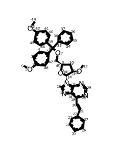 COc1ccc(C(OC[C@H]2[CH][C@@H](OC)[C@H](n3cnc4c(C=Cc5ccccc5)ncnc43)O2)(c2ccccc2)c2ccc(OC)cc2)cc1